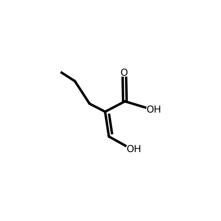 CCCC(=CO)C(=O)O